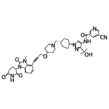 Cn1c(=O)n(C2CCC(=O)NC2=O)c2cccc(C#CCOC3CCN(C[C@H]4CC[C@H](n5cc(NC(=O)c6cncc(C#N)c6)c(C(C)(C)O)n5)CC4)CC3)c21